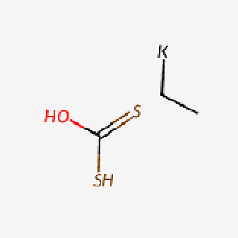 C[CH2][K].OC(=S)S